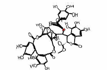 COC(=O)[C@H]1OC(=O)c2cc(O)c(O)c(O)c2C1C(CC(=O)O)C(=O)O[C@H]1[C@@H]2OC(=O)c3cc(O)c(O)c(O)c3-c3c(cc(O)c(O)c3O)C(=O)OC[C@H]1O[C@@H](OC(=O)c1cc(O)c(O)c(O)c1)[C@@H]2O